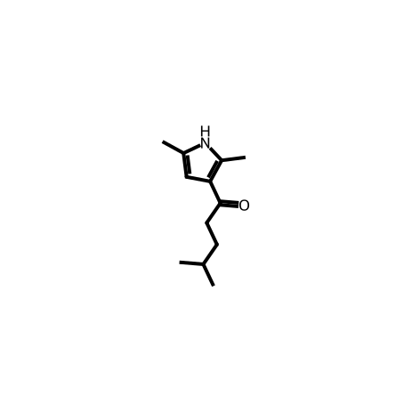 Cc1cc(C(=O)CCC(C)C)c(C)[nH]1